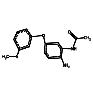 CSc1cccc(Oc2ccc(N)c(NC(C)=O)c2)c1